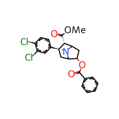 COC(=O)[C@@H]1C2C[C@@H](OC(=O)c3ccccc3)C(C[C@H]1c1ccc(Cl)c(Cl)c1)N2C